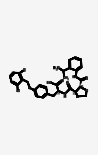 CC(C)c1ccccc1NC(=O)[C@@H]1OCO[C@H]1C(=O)N[C@@H](Cc1ccc(OCc2c(Cl)cccc2Cl)cc1)C(=O)O